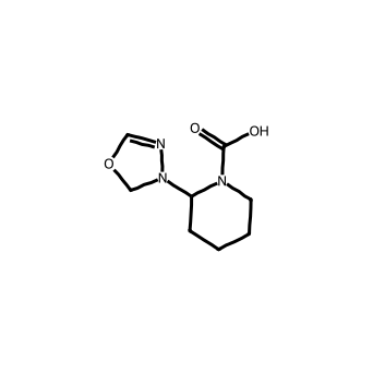 O=C(O)N1CCCCC1N1COC=N1